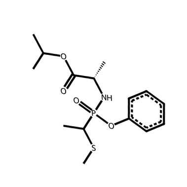 CSC(C)P(=O)(N[C@@H](C)C(=O)OC(C)C)Oc1ccccc1